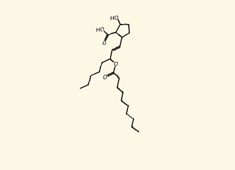 CCCCCCCCCC(=O)OC(C=CC1CCC(O)C1C(=O)O)CCCCC